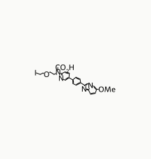 COc1ccc2nc(-c3ccc(-c4ccc(N(CCOCCI)C(=O)O)nc4)cc3)cn2c1